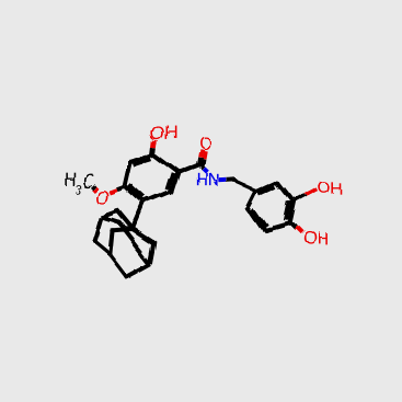 COc1cc(O)c(C(=O)NCc2ccc(O)c(O)c2)cc1C12CC3CC(CC(C3)C1)C2